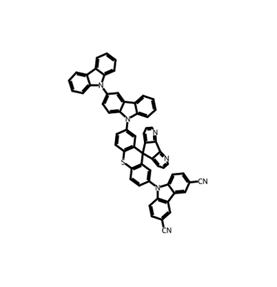 N#Cc1ccc2c(c1)c1cc(C#N)ccc1n2-c1ccc2c(c1)C1(c3cc(-n4c5ccccc5c5cc(-n6c7ccccc7c7ccccc76)ccc54)ccc3S2)c2cccnc2-c2ncccc21